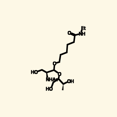 CCNC(=O)CCCCCOC(OC(CO)[C@@H](C)O)[C@H](CO)NC(C)=O